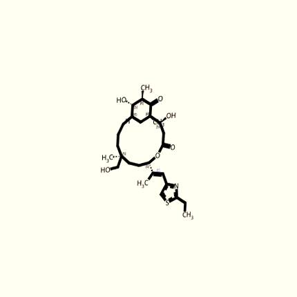 CCc1nc(/C=C(\C)[C@@H]2CC[C@@](C)(CO)CCC[C@@H]3C[C@@](C)(C(=O)[C@H](C)[C@H]3O)[C@@H](O)CC(=O)O2)cs1